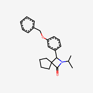 CC(C)N1C(=O)C2(CCCC2)C1c1cccc(OCc2ccccc2)c1